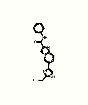 O=C(Nc1ccccc1)c1cn2cc(-c3c[nH]c(CO)n3)ccc2n1